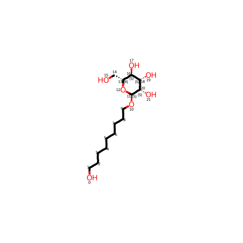 OCCCCCCCCCO[C@H]1O[C@H](CO)[C@@H](O)[C@H](O)[C@@H]1O